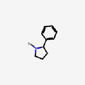 [CH2]CN1CCCC1c1ccccc1